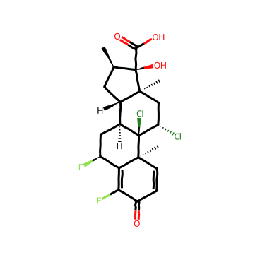 C[C@@H]1C[C@H]2[C@@H]3C[C@H](F)C4=C(F)C(=O)C=C[C@]4(C)[C@@]3(Cl)[C@@H](Cl)C[C@]2(C)[C@@]1(O)C(=O)O